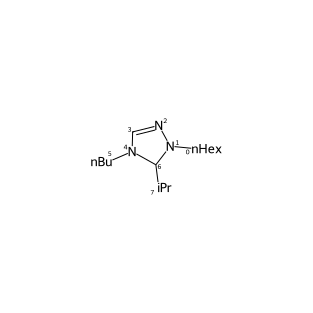 CCCCCCN1N=CN(CCCC)C1C(C)C